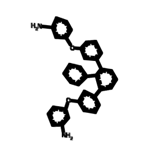 Nc1cccc(Oc2cccc(-c3cccc(-c4cccc(Oc5cccc(N)c5)c4)c3-c3ccccc3)c2)c1